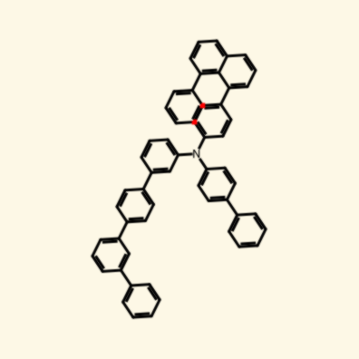 c1ccc(-c2ccc(N(c3ccc(-c4cccc5cccc(-c6ccccc6)c45)cc3)c3cccc(-c4ccc(-c5cccc(-c6ccccc6)c5)cc4)c3)cc2)cc1